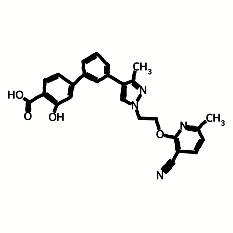 Cc1ccc(C#N)c(OCCn2cc(-c3cccc(-c4ccc(C(=O)O)c(O)c4)c3)c(C)n2)n1